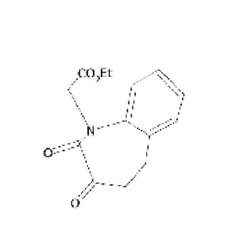 CCOC(=O)CN1C(=O)C(=O)CCc2ccccc21